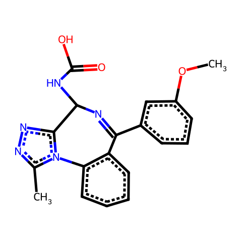 COc1cccc(C2=NC(NC(=O)O)c3nnc(C)n3-c3ccccc32)c1